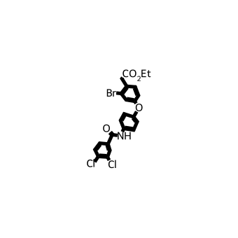 CCOC(=O)Cc1ccc(Oc2ccc(NC(=O)c3ccc(Cl)c(Cl)c3)cc2)cc1Br